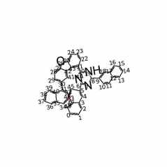 c1ccc2cc(C3=NC(c4ccc5ccccc5c4)NC(c4cccc5oc6ccc(-c7cccc8ccccc78)cc6c45)=N3)ccc2c1